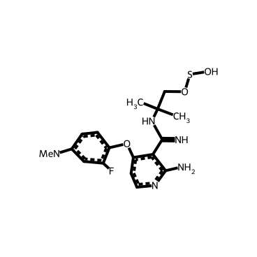 CNc1ccc(Oc2ccnc(N)c2C(=N)NC(C)(C)COSO)c(F)c1